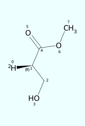 [2H][C@H](CO)C(=O)OC